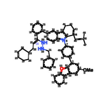 COc1cc(-c2ccc(-n3c4c(c5cc(-c6ccccc6/C(=C/CC6CC=CCC6)NNCc6ccccc6)ccc53)CCC=C4C=C(C)C)cc2)c2oc3ccccc3c2c1